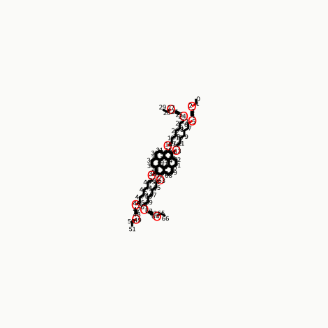 CCOC#COCCCCCCCOc1c(OCCCCCCCOC#COCC)c2ccc3ccc4c(OCCCCCCCOC#COCC)c(OCCCCCCCOC#COCC)c5ccc6ccc1c1c6c5c4c3c21